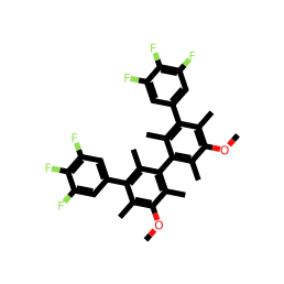 COc1c(C)c(-c2cc(F)c(F)c(F)c2)c(C)c(-c2c(C)c(OC)c(C)c(-c3cc(F)c(F)c(F)c3)c2C)c1C